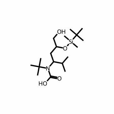 CC(C)C(CC(CO)O[Si](C)(C)C(C)(C)C)N(C(=O)O)C(C)(C)C